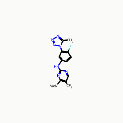 CNc1nc(Nc2ccc(F)c(-n3nnnc3C)c2)ncc1C(F)(F)F